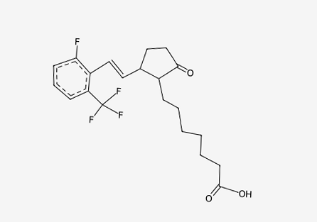 O=C(O)CCCCCCC1C(=O)CCC1C=Cc1c(F)cccc1C(F)(F)F